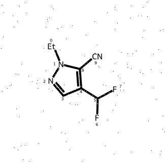 CCn1n[c]c(C(F)F)c1C#N